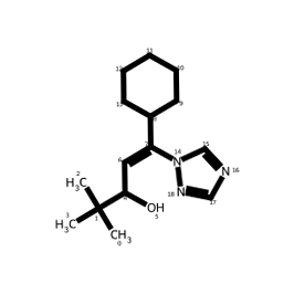 CC(C)(C)C(O)C=C(C1CCCCC1)n1cncn1